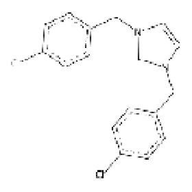 Clc1ccc(CN2C=CN(Cc3ccc(Cl)cc3)C2)cc1